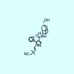 CC(C)(/C=C/n1ncc(C(=O)N[C@H]2C3CC4CC2C[C@](CO)(C4)C3)c1-n1cccn1)CC#N